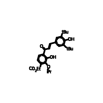 CCOC(=O)c1ccc(C(=O)/C=C/c2cc(C(C)(C)C)c(O)c(C(C)(C)C)c2)c(O)c1OC(C)C